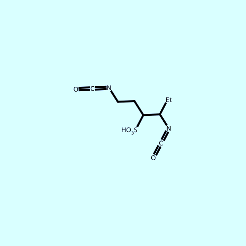 CCC(N=C=O)C(CCN=C=O)S(=O)(=O)O